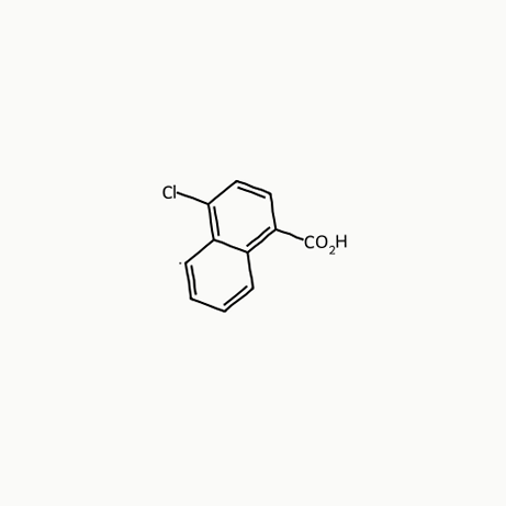 O=C(O)c1ccc(Cl)c2[c]cccc12